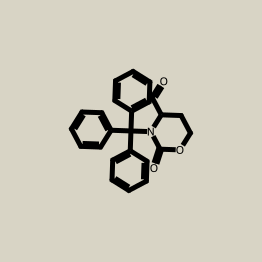 O=CC1CCOC(=O)N1C(c1ccccc1)(c1ccccc1)c1ccccc1